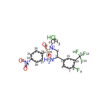 CN(CC(N)c1ccc(F)c(C(F)(F)F)c1)S(=O)(=O)c1ccc([N+](=O)[O-])cc1.Cl